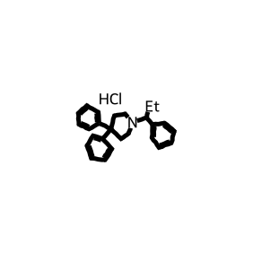 CCC(c1ccccc1)N1CCC(c2ccccc2)(c2ccccc2)CC1.Cl